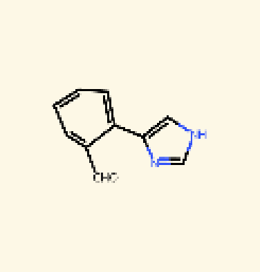 O=Cc1ccccc1-c1c[nH]cn1